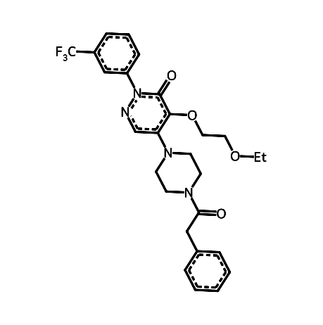 CCOCCOc1c(N2CCN(C(=O)Cc3ccccc3)CC2)cnn(-c2cccc(C(F)(F)F)c2)c1=O